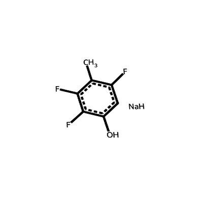 Cc1c(F)cc(O)c(F)c1F.[NaH]